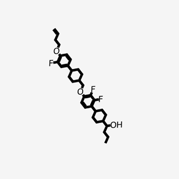 C=CCCOc1ccc(C2CCC(COc3ccc(C4CCC(C(O)CCC)CC4)c(F)c3F)CC2)cc1F